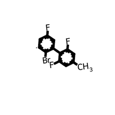 Cc1cc(F)c(-c2cc(F)c[c]c2Br)c(F)c1